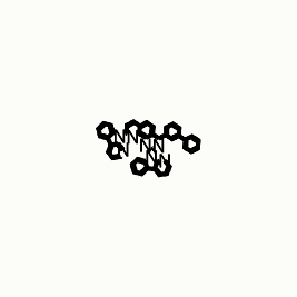 c1ccc(-c2cccc(-c3nc(-n4c5ccccc5c5cccnc54)nc4c3ccc3ccc(-n5c6ccccc6c6cccnc65)nc34)c2)cc1